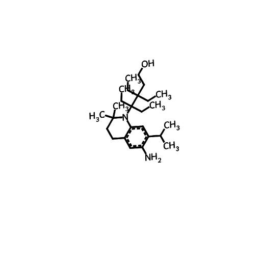 CCC(CC)(CCO)C(CC)(CC)N1c2cc(C(C)C)c(N)cc2CCC1(C)C